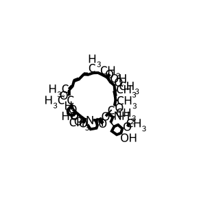 CO[C@H]1C[C@@H]2CC[C@@H](C)[C@@](O)(O2)C(=O)C(=O)N2CCCC[C@H]2C(=O)O[C@H]([C@H](N)C[C@@H]2CC[C@@H](O)[C@H](OC)C2)C[C@@H](OC)[C@H](C)/C=C(\C)[C@@H](OC)[C@@H](O)C(=O)[C@H](C)C[C@H](C)/C=C/C=C/C=C/1C